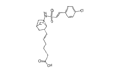 O=C(O)CCC/C=C/C1CC2CCC1C(NS(=O)(=O)/C=C/c1ccc(Cl)cc1)C2